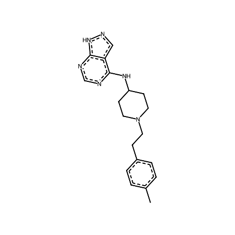 Cc1ccc(CCN2CCC(Nc3ncnc4[nH]ncc34)CC2)cc1